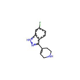 Fc1ccc2c(C3=CCNCC3)n[nH]c2c1